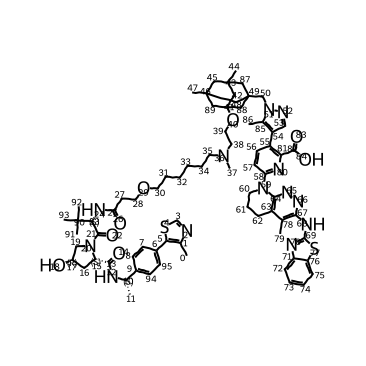 Cc1ncsc1-c1ccc([C@H](C)NC(=O)[C@@H]2C[C@@H](O)CN2C(=O)[C@@H](NC(=O)CCOCCCCCCN(C)CCOC23CC4(C)CC(C)(CC(Cn5ncc(-c6ccc(N7CCCc8c7nnc(Nc7nc9ccccc9s7)c8C)nc6C(=O)O)c5C)(C4)C2)C3)C(C)(C)C)cc1